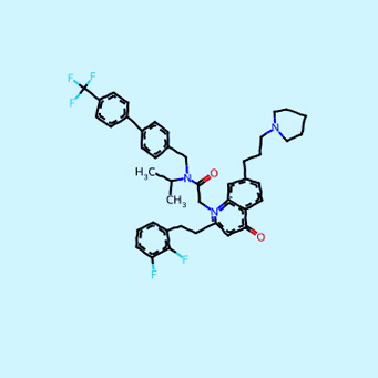 CC(C)N(Cc1ccc(-c2ccc(C(F)(F)F)cc2)cc1)C(=O)Cn1c(CCc2cccc(F)c2F)cc(=O)c2ccc(CCCN3CCCCC3)cc21